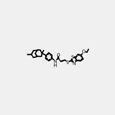 CCOc1ccc2nc(SCCC(=O)Nc3ccc(C4(C)CC5CC(C)CC(C5)C4)cc3)sc2c1